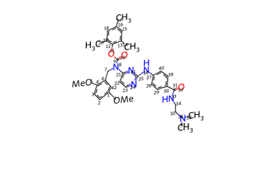 COc1ccc(OC)c(CN(C(=O)Oc2c(C)cc(C)cc2C)c2ccnc(Nc3ccc(C(=O)NCCN(C)C)cc3)n2)c1